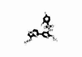 COc1ncc(-c2ccn3ncc(N=[N+]=[N-])c3n2)cc1NS(=O)(=O)c1ccc(F)cc1F